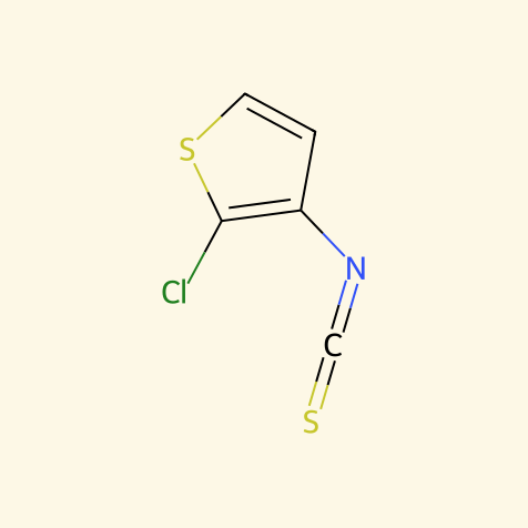 S=C=Nc1ccsc1Cl